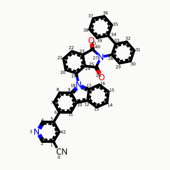 N#Cc1cncc(-c2ccc3c(c2)c2ccccc2n3-c2cccc3c2C(=O)N(c2ccccc2-c2ccccc2)C3=O)c1